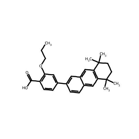 CCCOc1cc(-c2ccc3cc4c(cc3c2)C(C)(C)CCC4(C)C)ccc1C(=O)O